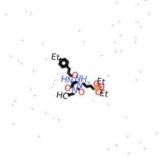 C#CCn1c(=O)c(NC(=O)CCc2ccc(CC)cc2)c(N)n(CCCCP(=O)(OCC)OCC)c1=O